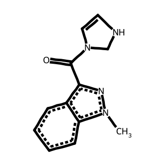 Cn1nc(C(=O)N2C=CNC2)c2ccccc21